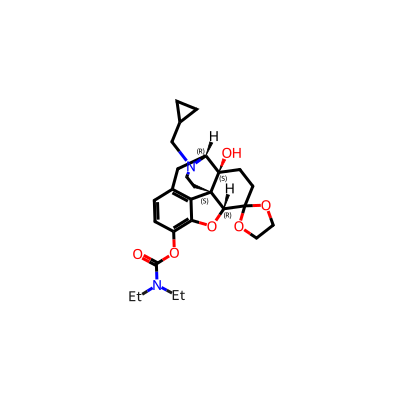 CCN(CC)C(=O)Oc1ccc2c3c1O[C@H]1C4(CC[C@@]5(O)[C@@H](C2)N(CC2CC2)CC[C@]315)OCCO4